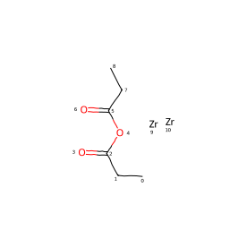 CCC(=O)OC(=O)CC.[Zr].[Zr]